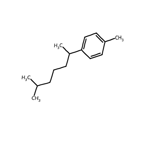 Cc1ccc(C(C)CCCC(C)C)cc1